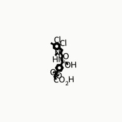 Cc1cc2c(cc(C(=O)N[C@H](CO)c3ccc(S(=O)(=O)CC(=O)O)cc3)n2C)c(Cl)c1Cl